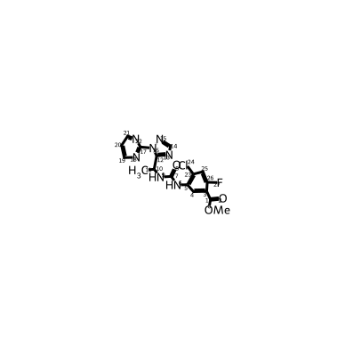 COC(=O)c1cc(NC(=O)NC(C)c2ncnn2-c2ncccn2)c(Cl)cc1F